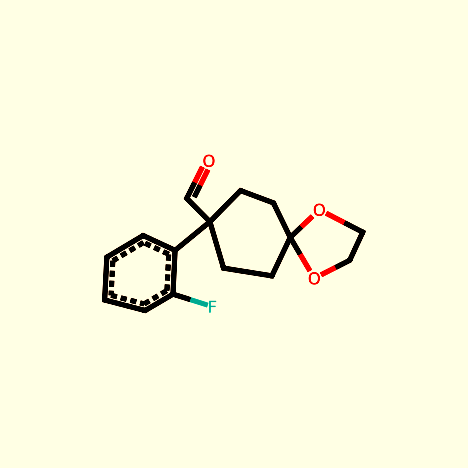 O=CC1(c2ccccc2F)CCC2(CC1)OCCO2